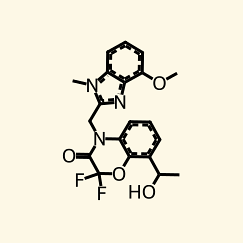 COc1cccc2c1nc(CN1C(=O)C(F)(F)Oc3c(C(C)O)cccc31)n2C